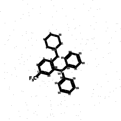 FC(F)(F)c1ccc(CN2CCCCC2)c(P(c2ccccc2)c2ccccc2)c1